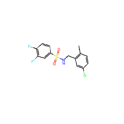 Cc1ccc(Cl)cc1CNS(=O)(=O)c1ccc(F)c(F)c1